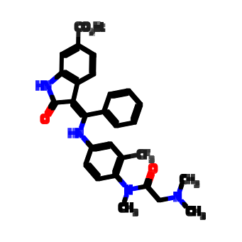 CCOC(=O)c1ccc2c(c1)NC(=O)/C2=C(\Nc1ccc(N(C)C(=O)CN(C)C)c(C(F)(F)F)c1)c1ccccc1